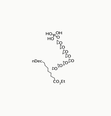 C1CO1.C1CO1.C1CO1.C1CO1.C1CO1.C1CO1.C1CO1.C1CO1.CCCCCCCCCCCCCCCCCC(=O)OCC.O=P(O)(O)O